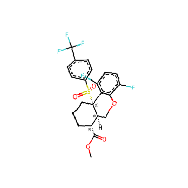 COC(=O)[C@@H]1CCC[C@@]2(S(=O)(=O)c3ccc(C(F)(F)F)cc3)c3c(F)ccc(F)c3OC[C@@H]12